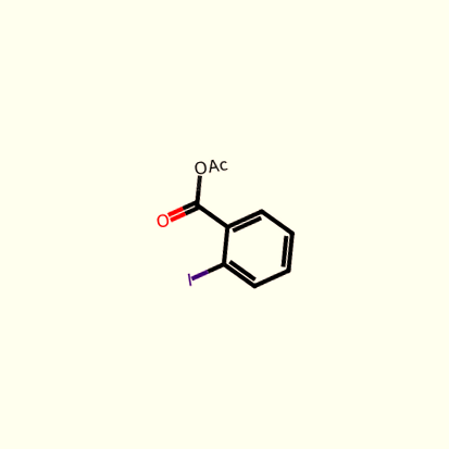 CC(=O)OC(=O)c1ccccc1I